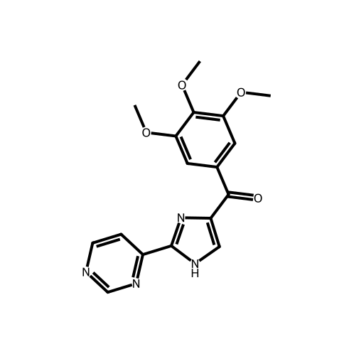 COc1cc(C(=O)c2c[nH]c(-c3ccncn3)n2)cc(OC)c1OC